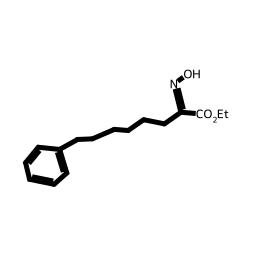 CCOC(=O)C(CCCCCCc1ccccc1)=NO